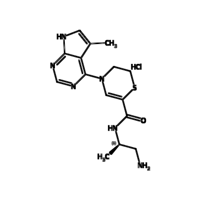 Cc1c[nH]c2ncnc(N3C=C(C(=O)N[C@H](C)CN)SCC3)c12.Cl